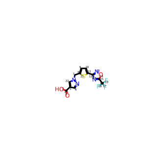 O=C(O)c1cnn(Cc2ccc(-c3noc(C(F)(F)F)n3)s2)c1